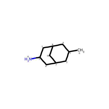 CC1CC2CC(N)CC(C1)C2